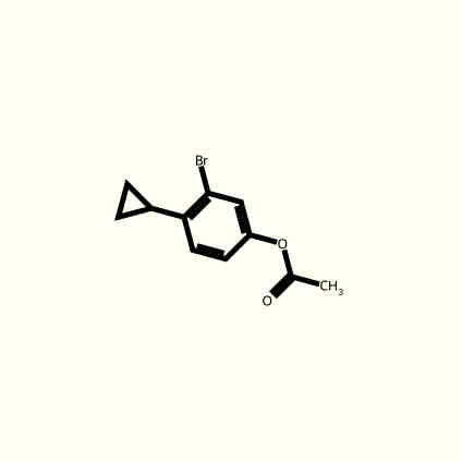 CC(=O)Oc1ccc(C2CC2)c(Br)c1